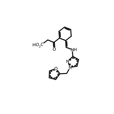 O=C(O)CC(=O)C1=CC=CCC1=CNc1ccn(Cc2ccco2)n1